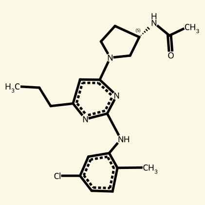 CCCc1cc(N2CC[C@H](NC(C)=O)C2)nc(Nc2cc(Cl)ccc2C)n1